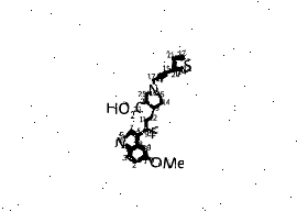 COc1ccc2nccc(C(F)CC[C@@H]3CCN(CC#Cc4ccsc4)C[C@@H]3C(=O)O)c2c1